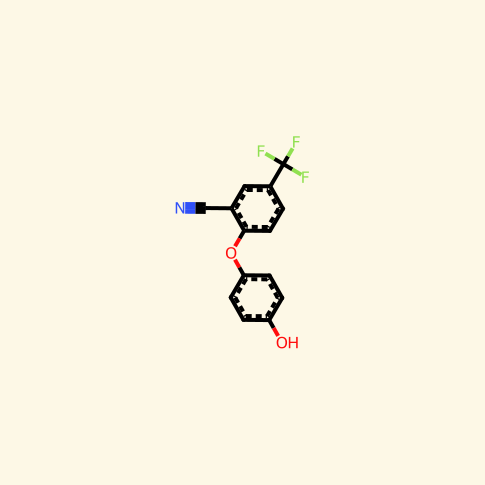 N#Cc1cc(C(F)(F)F)ccc1Oc1ccc(O)cc1